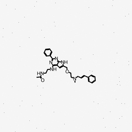 CC(=O)NCCNc1nc(-c2ccccc2)nc2[nH]c(COCCN(C)CC=Cc3ccccc3)cc12